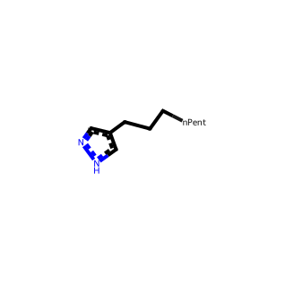 CCCCCCCCc1[c]n[nH]c1